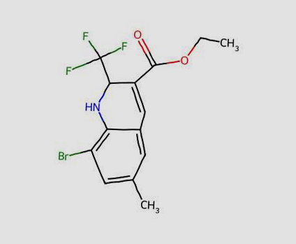 CCOC(=O)C1=Cc2cc(C)cc(Br)c2NC1C(F)(F)F